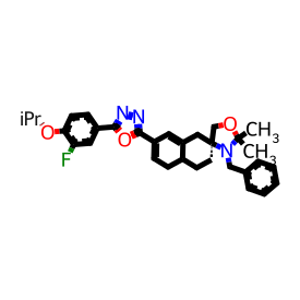 CC(C)Oc1ccc(-c2nnc(C3=CCC4CC[C@@]5(COC(C)(C)N5Cc5ccccc5)CC4=C3)o2)cc1F